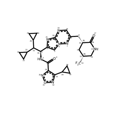 O=C(N[C@H](c1cn2nc(C[C@H]3C[C@@H](C(F)(F)F)CNC3=O)cnc2n1)C(C1CC1)C1CC1)c1nonc1C1CC1